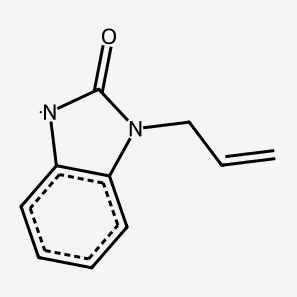 C=CCN1C(=O)[N]c2ccccc21